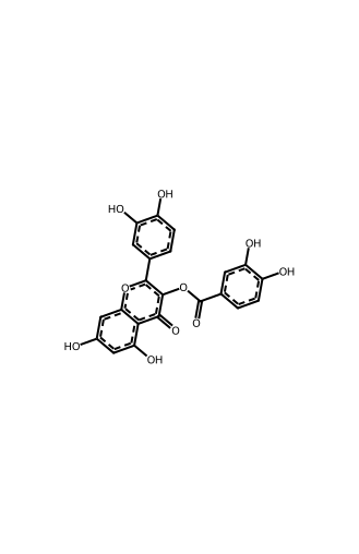 O=C(Oc1c(-c2ccc(O)c(O)c2)oc2cc(O)cc(O)c2c1=O)c1ccc(O)c(O)c1